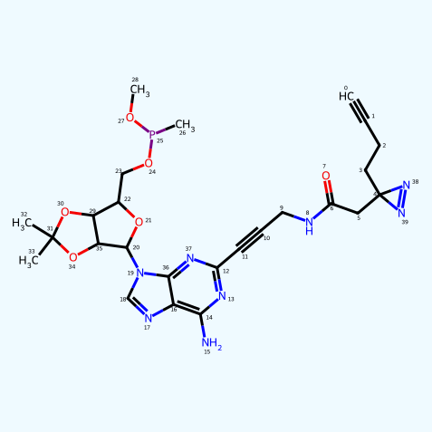 C#CCCC1(CC(=O)NCC#Cc2nc(N)c3ncn(C4OC(COP(C)OC)C5OC(C)(C)OC54)c3n2)N=N1